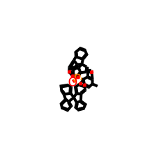 CC1C=CC2(C)C3=C1C(C)C1=C(C3C)C3(c4ccccc41)c1ccccc1-c1ccc(cc13)P2(=O)c1ccc2c(c1)C1(c3ccccc3-c3ccccc31)c1ccccc1-2